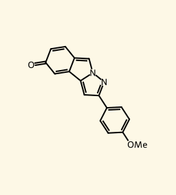 COc1ccc(-c2cc3c4c(cn3n2)C=CC(=O)C=4)cc1